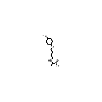 CCN(CC)C(C)NCCCCOC1CCC(C(C)(C)C)CC1